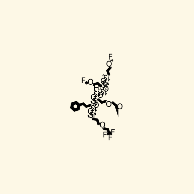 C[SiH](O[Si](C)(C)O[Si](C)(CCCOCF)O[Si](C)(C)CCCOCF)O[Si](C)(CCCOCC1CO1)O[Si](C)(CCCc1ccccc1)O[Si](C)(C)CCCOCCC(F)(F)F